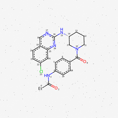 CCC(=O)Nc1ccc(C(=O)N2CCC[C@@H](Nc3ncc4ccc(Cl)cc4n3)C2)cc1